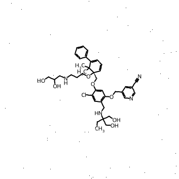 CCC(CO)(CO)NCc1cc(Cl)c(OC[C@]2(OCCCNCC(O)CO)C=CC=C(c3ccccc3)C2(C)C)cc1OCc1cncc(C#N)c1